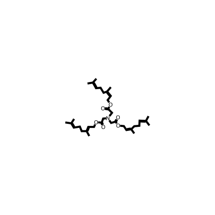 CC(C)=CCCC(C)=CCOC(=O)CN(CC(=O)OCC=C(C)CCC=C(C)C)CC(=O)OCC=C(C)CCC=C(C)C